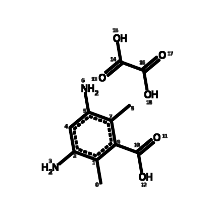 Cc1c(N)cc(N)c(C)c1C(=O)O.O=C(O)C(=O)O